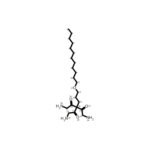 CCCCCCCCCCCCOCCCC(C(=O)CN)(C(=O)CN)C(=O)CN